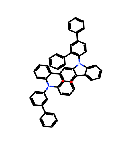 c1ccc(-c2cccc(N(c3ccccc3)c3ccccc3-c3ccc4c5ccccc5n(-c5ccc(-c6ccccc6)cc5-c5ccccc5)c4c3)c2)cc1